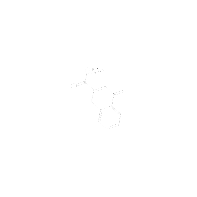 C=C1C=C(C(=O)OC)Cc2ccccc21